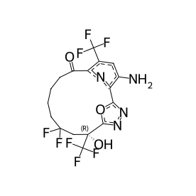 Nc1cc(C(F)(F)F)c2nc1-c1nnc(o1)[C@@](O)(C(F)(F)F)CC(F)(F)CCCCC2=O